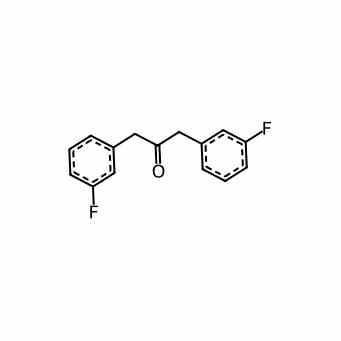 O=C(Cc1cccc(F)c1)Cc1cccc(F)c1